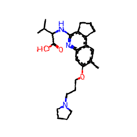 Cc1cc2c3c(c(NC(C(=O)O)C(C)C)nc2cc1OCCCN1CCCC1)CCC3